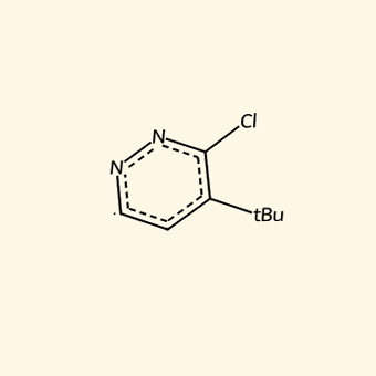 CC(C)(C)c1c[c]nnc1Cl